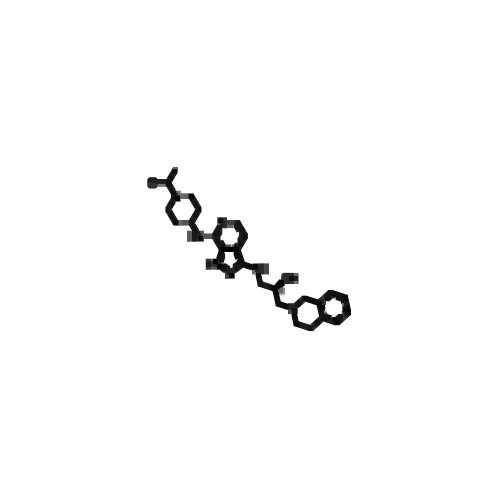 CC(=O)N1CCC(Nc2nccc3c(NC[C@@H](O)CN4CCc5ccccc5C4)n[nH]c23)CC1